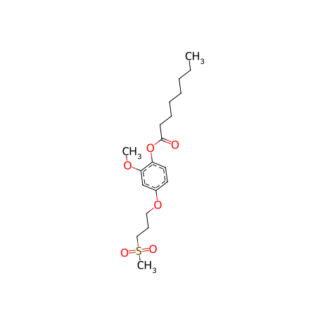 CCCCCCCC(=O)Oc1ccc(OCCCS(C)(=O)=O)cc1OC